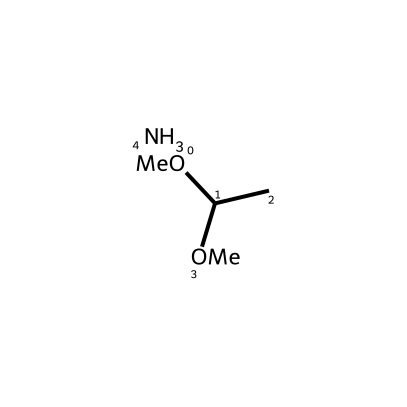 COC(C)OC.N